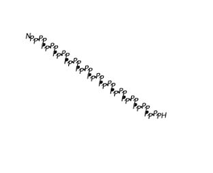 N#P=P\P=P/P=P\P=P/P=P\P=P/P=P\P=P/P=P\P=P/P=P\P=P/P=P\P=P/P=P\P=P/P=P\P=P/P=P\P=P/P=P\P=P